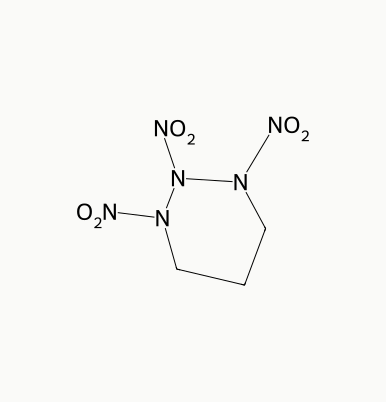 O=[N+]([O-])N1CCCN([N+](=O)[O-])N1[N+](=O)[O-]